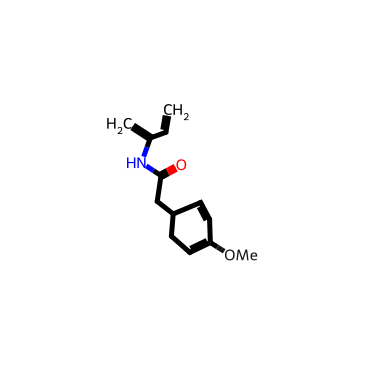 C=CC(=C)NC(=O)CC1C=CC(OC)=CC1